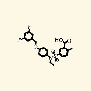 CCN(c1ccc(OCc2cc(F)cc(F)c2)cc1)S(=O)(=O)c1ccc(C)c(C(=O)O)c1